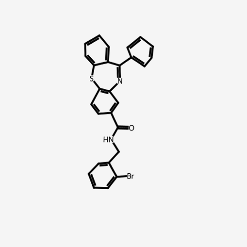 O=C(NCc1ccccc1Br)c1ccc2c(c1)N=C(c1ccccc1)c1ccccc1S2